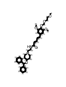 COCCOCOc1c(OC)cc(C=CC=CC(=O)NCCN2CCC(OC(c3ccccc3)c3ccccc3)CC2)cc1OC